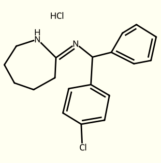 Cl.Clc1ccc(C(N=C2CCCCCN2)c2ccccc2)cc1